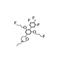 CCC[C@@H]1CCC(c2cc(OCCCF)c(-c3cc(F)c(CF)c(F)c3)c(OCCCF)c2)OC1